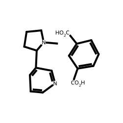 CN1CCCC1c1cccnc1.O=C(O)c1cccc(C(=O)O)c1